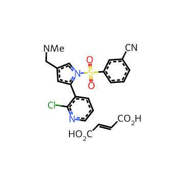 CNCc1cc(-c2cccnc2Cl)n(S(=O)(=O)c2cccc(C#N)c2)c1.O=C(O)C=CC(=O)O